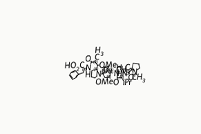 CC[C@H](C)[C@@H]([C@@H](CC(=O)N1CCC[C@H]1C(OC)[C@@H](C)C(=O)N[C@@H](Cc1ccccc1)C(=O)O)OC)N(C)C(=O)[C@@H](NC(=O)[C@]1(C)CCCN1C)C(C)C